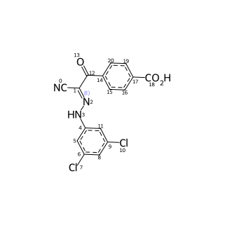 N#C/C(=N\Nc1cc(Cl)cc(Cl)c1)C(=O)c1ccc(C(=O)O)cc1